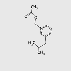 CC(=O)OC[n+]1cccc(CC(C)C)c1